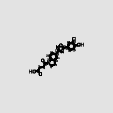 O=C(O)CCC(=O)N1CCc2cc(-c3noc(-c4ccc(O)c(Cl)c4)n3)ccc21